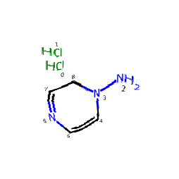 Cl.Cl.NN1C=CN=CC1